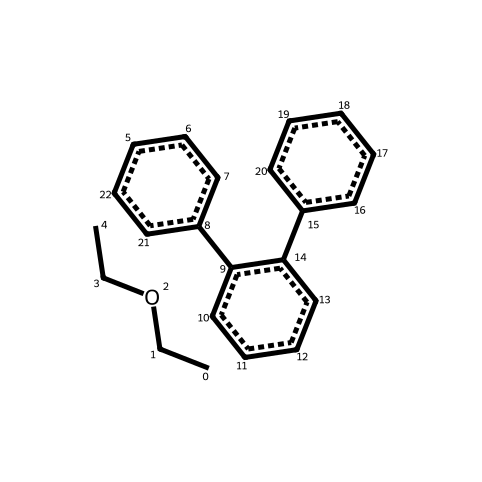 CCOCC.c1ccc(-c2ccccc2-c2ccccc2)cc1